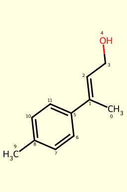 CC(=CCO)c1ccc(C)cc1